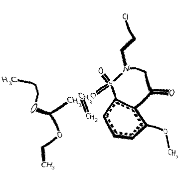 C=C.CCOC(C)OCC.COc1cccc2c1C(=O)CN(CCCl)S2(=O)=O